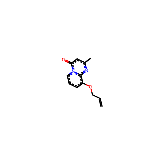 C=CCOc1cccn2c(=O)cc(C)nc12